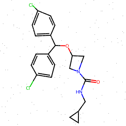 O=C(NCC1CC1)N1CC(OC(c2ccc(Cl)cc2)c2ccc(Cl)cc2)C1